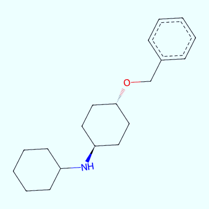 c1ccc(CO[C@H]2CC[C@H](NC3CCCCC3)CC2)cc1